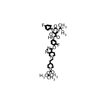 CC(C)n1cc(C(=O)Nc2ccc(Oc3ncnc4c3CCN(CCC3CCN(C(=O)OC(C)(C)C)CC3)C4)c(F)c2)c(=O)n(-c2ccc(F)cc2)c1=O